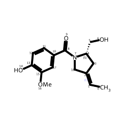 C/C=C1\C[C@@H](CO)N(C(=O)c2ccc(O)c(OC)c2)C1